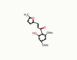 COc1cc(O)c(C(=O)/C=C/c2ccc(C)o2)c(OC)c1